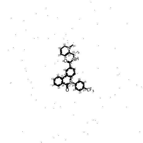 C[C@H](NC(=O)c1ccc2c(c1)c1ccccc1c(=O)n2-c1ccc(C(F)(F)F)cc1)C1=CC=CCN1C